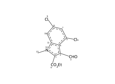 CCOC(=O)c1c(C=O)c2c(Cl)cc(Cl)cc2n1C